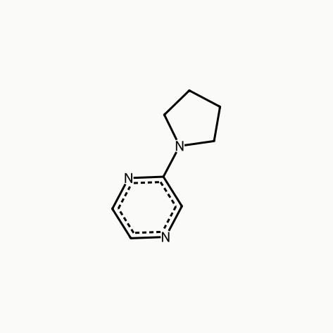 c1cnc(N2CCCC2)cn1